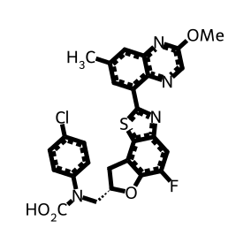 COc1cnc2c(-c3nc4cc(F)c5c(c4s3)C[C@@H](CN(C(=O)O)c3ccc(Cl)cc3)O5)cc(C)cc2n1